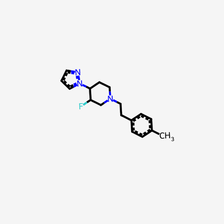 Cc1ccc(CCN2CCC(n3cccn3)C(F)C2)cc1